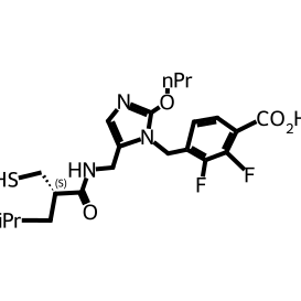 CCCOc1ncc(CNC(=O)[C@@H](CS)CC(C)C)n1Cc1ccc(C(=O)O)c(F)c1F